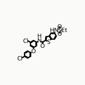 CCS(=O)(=O)Nc1ccc2sc(C(=O)Nc3cc(Cl)cc(Oc4ccc(Cl)cc4)c3)cc2c1